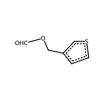 O=[C]OCc1ccsc1